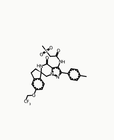 Cc1ccc(-c2nn3c(c2NC(=O)CS(C)(=O)=O)C(=O)N[C@]2(CCc4cc(OCC(F)(F)F)ccc42)C3)cc1